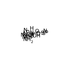 CN(Cc1cnc2nc(N)[nH]c(=N)c2n1)c1ccc(C(=O)N[C@@H](CCC(=O)OCCSSc2ccccn2)C(=O)O)cc1